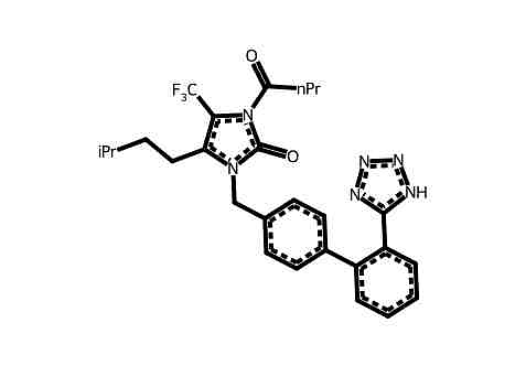 CCCC(=O)n1c(C(F)(F)F)c(CCC(C)C)n(Cc2ccc(-c3ccccc3-c3nnn[nH]3)cc2)c1=O